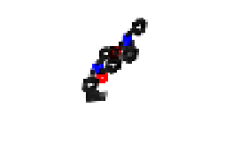 CC(C)(C)c1ccc(CN(CCC(=O)O)C(=O)c2cccc(OCCN(Cc3ccccc3)Cc3ccccc3)c2)cc1